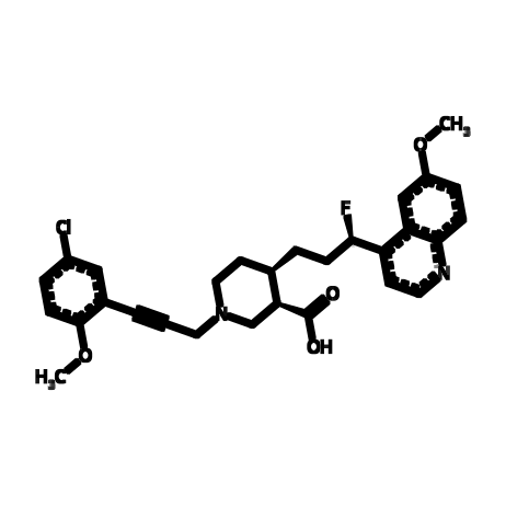 COc1ccc2nccc([C@H](F)CC[C@@H]3CCN(CC#Cc4cc(Cl)ccc4OC)C[C@@H]3C(=O)O)c2c1